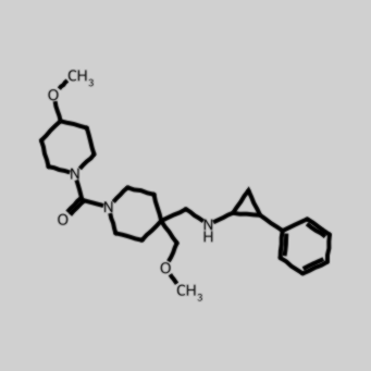 COCC1(CNC2CC2c2ccccc2)CCN(C(=O)N2CCC(OC)CC2)CC1